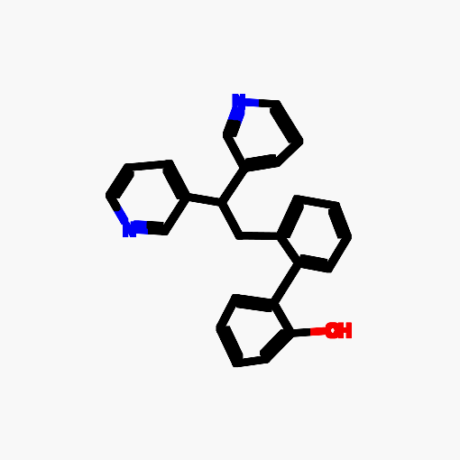 Oc1ccccc1-c1ccccc1CC(c1cccnc1)c1cccnc1